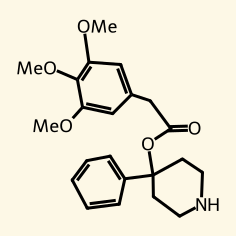 COc1cc(CC(=O)OC2(c3ccccc3)CCNCC2)cc(OC)c1OC